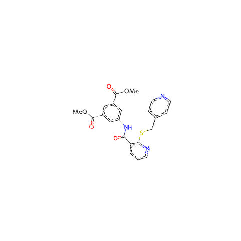 COC(=O)c1cc(NC(=O)c2cccnc2SCc2ccncc2)cc(C(=O)OC)c1